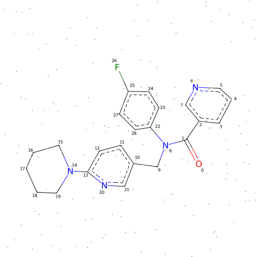 O=C(c1cccnc1)N(Cc1ccc(N2CCCCC2)nc1)c1ccc(F)cc1